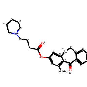 CC(=O)Oc1cc(OC(=O)CCCN2CCCCC2)cc2c1C(=O)c1ccccc1CC2